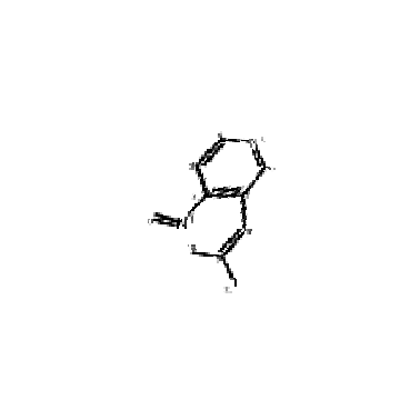 C=Nc1ccncc1/C=C(\C)I